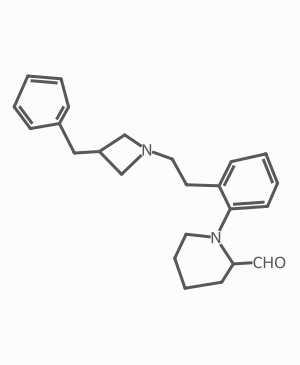 O=CC1CCCCN1c1ccccc1CCN1CC(Cc2ccccc2)C1